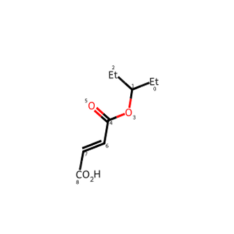 CCC(CC)OC(=O)C=CC(=O)O